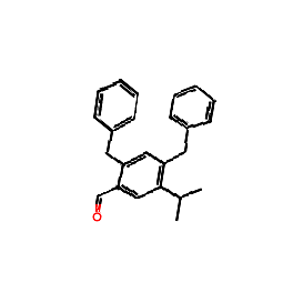 CC(C)c1cc(C=O)c(Cc2ccccc2)cc1Cc1ccccc1